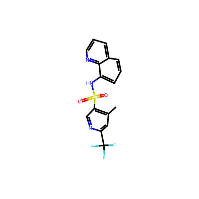 Cc1cc(C(F)(F)F)ncc1S(=O)(=O)Nc1cccc2cccnc12